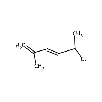 C=C(C)C=CC(C)CC